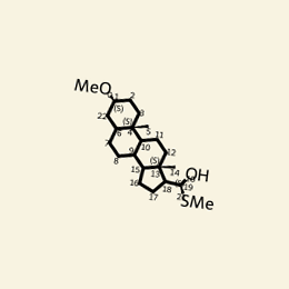 CO[C@H]1CC[C@@]2(C)C(CCC3C2CC[C@@]2(C)C3CCC2[C@@H](O)SC)C1